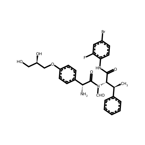 C[C@@H](c1ccccc1)[C@@H](C(=O)Nc1ccc(Br)cc1F)N(C=O)C(=O)[C@H](N)c1ccc(OC[C@H](O)CO)cc1